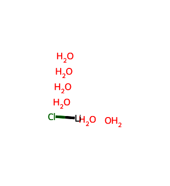 O.O.O.O.O.O.[Li][Cl]